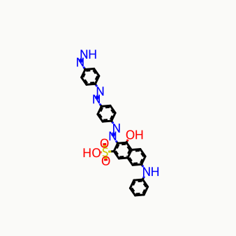 N=Nc1ccc(N=Nc2ccc(N=Nc3c(S(=O)(=O)O)cc4cc(Nc5ccccc5)ccc4c3O)cc2)cc1